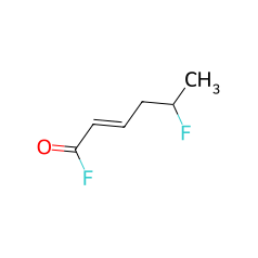 CC(F)CC=CC(=O)F